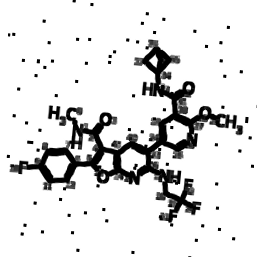 CNC(=O)c1c(-c2ccc(F)cc2)oc2nc(NCC(F)(F)F)c(-c3cnc(OC)c(C(=O)NC45CC(C4)C5)c3)cc12